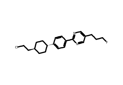 FCCCc1cnc(-c2ccc([C@H]3CC[C@H](CCCl)CC3)cc2)nc1